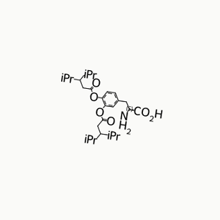 CC(C)C(CC(=O)Oc1ccc(C[C@H](N)C(=O)O)cc1OC(=O)CC(C(C)C)C(C)C)C(C)C